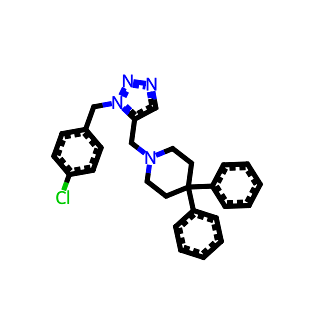 Clc1ccc(Cn2nncc2CN2CCC(c3ccccc3)(c3ccccc3)CC2)cc1